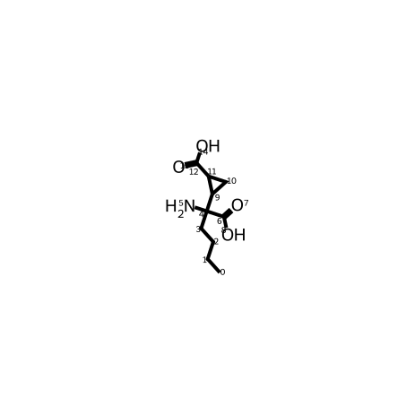 CCCCC(N)(C(=O)O)C1CC1C(=O)O